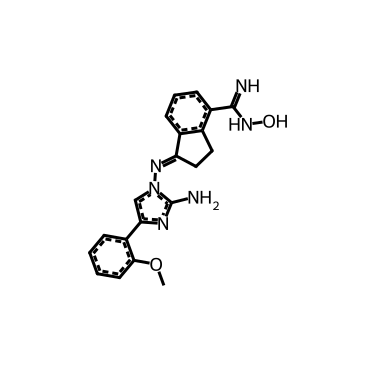 COc1ccccc1-c1cn(/N=C2\CCc3c(C(=N)NO)cccc32)c(N)n1